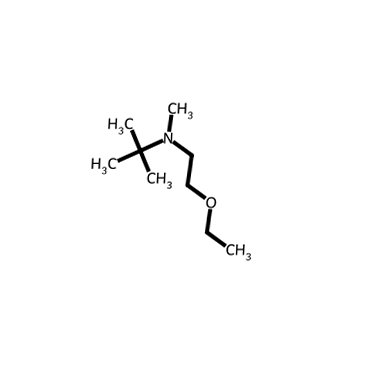 CCOCCN(C)C(C)(C)C